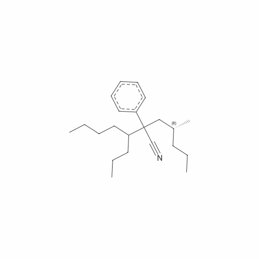 CCCCC(CCC)C(C#N)(C[C@H](C)CCC)c1ccccc1